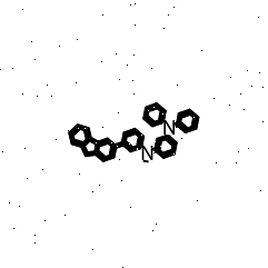 CN(c1cccc(-c2ccc3c(c2)-c2ccccc2C3)c1)c1cccc(N(c2ccccc2)c2ccccc2)c1